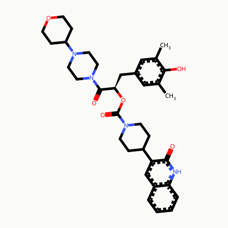 Cc1cc(C[C@@H](OC(=O)N2CCC(c3cc4ccccc4[nH]c3=O)CC2)C(=O)N2CCN(C3CCOCC3)CC2)cc(C)c1O